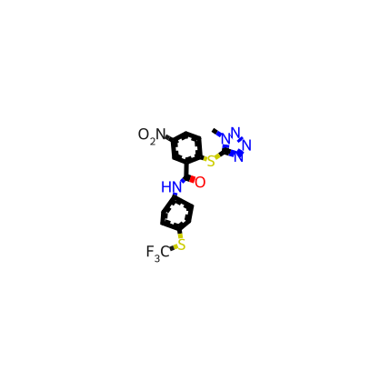 Cn1nnnc1Sc1ccc([N+](=O)[O-])cc1C(=O)Nc1ccc(SC(F)(F)F)cc1